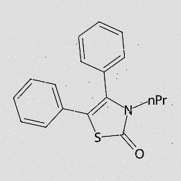 CCCn1c(-c2ccccc2)c(-c2ccccc2)sc1=O